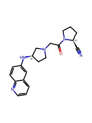 N#C[C@@H]1CCCN1C(=O)CN1CC[C@@H](Nc2ccc3ncccc3c2)C1